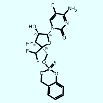 Nc1nc(=O)n([C@@H]2O[C@@](COP3(=S)OCc4ccccc4O3)(C(F)F)[C@H](F)[C@H]2O)cc1F